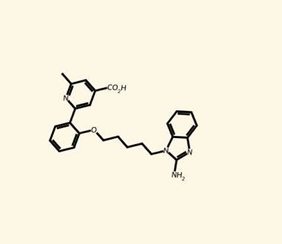 Cc1cc(C(=O)O)cc(-c2ccccc2OCCCCCn2c(N)nc3ccccc32)n1